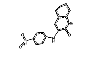 O=c1[nH]c2ccccc2cc1Nc1ccc([SH](=O)=O)cc1